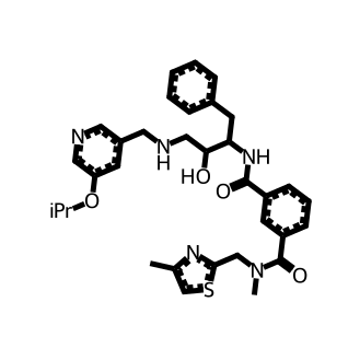 Cc1csc(CN(C)C(=O)c2cccc(C(=O)NC(Cc3ccccc3)C(O)CNCc3cncc(OC(C)C)c3)c2)n1